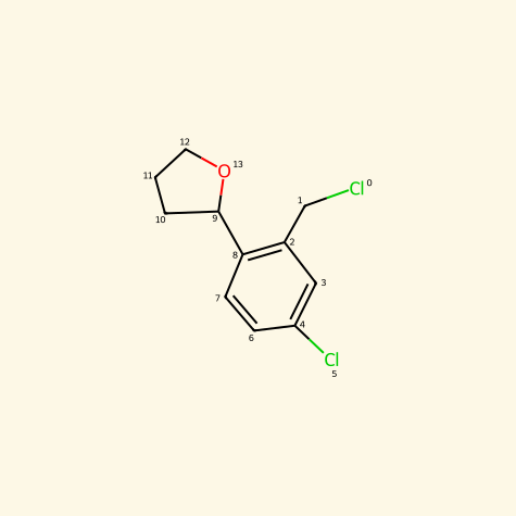 ClCc1cc(Cl)ccc1C1CCCO1